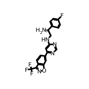 N[C@@H](CNc1cc(-c2ccc3c(C(F)(F)F)noc3c2)ncn1)c1ccc(F)cc1